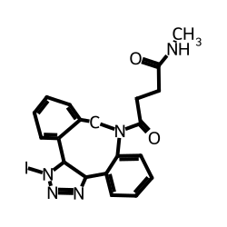 CNC(=O)CCC(=O)N1Cc2ccccc2C2C(N=NN2I)c2ccccc21